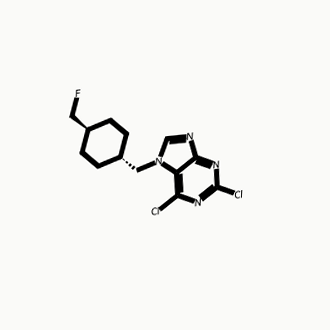 FC[C@H]1CC[C@H](Cn2cnc3nc(Cl)nc(Cl)c32)CC1